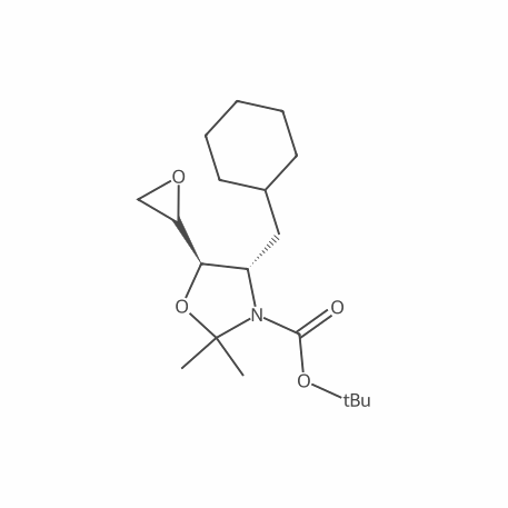 CC(C)(C)OC(=O)N1[C@@H](CC2CCCCC2)[C@H](C2CO2)OC1(C)C